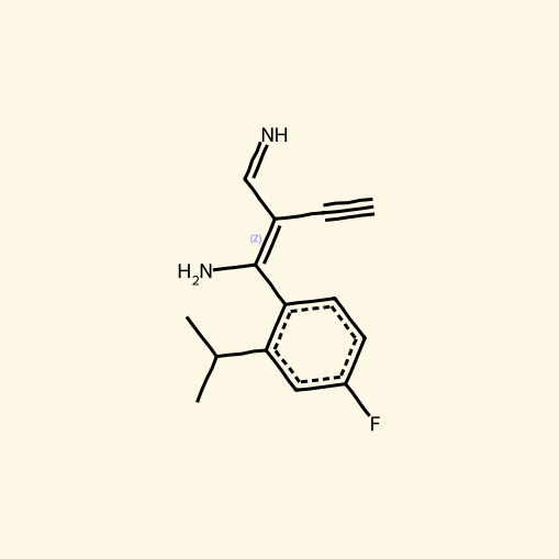 C#C/C(C=N)=C(/N)c1ccc(F)cc1C(C)C